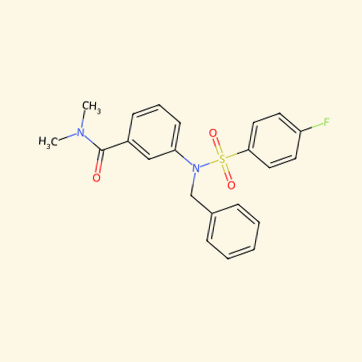 CN(C)C(=O)c1cccc(N(Cc2ccccc2)S(=O)(=O)c2ccc(F)cc2)c1